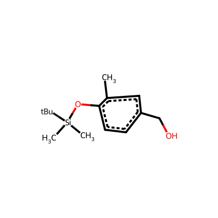 Cc1cc(CO)ccc1O[Si](C)(C)C(C)(C)C